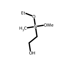 CCO[Si](C)(CCO)OC